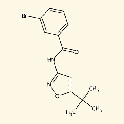 CC(C)(C)c1cc(NC(=O)c2cccc(Br)c2)no1